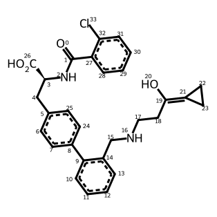 O=C(N[C@@H](Cc1ccc(-c2ccccc2CNCCC(O)=C2CC2)cc1)C(=O)O)c1ccccc1Cl